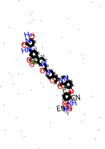 CCN(C)S(=O)(=O)Nc1ccc(F)c(Oc2ccc3ncn([C@@H]4COC5(CCN(C(=O)CN6CCC(c7ccc(NC8CCC(=O)NC8=O)cc7S(=O)(=O)F)CC6)CC5)C4)c(=O)c3c2)c1C#N